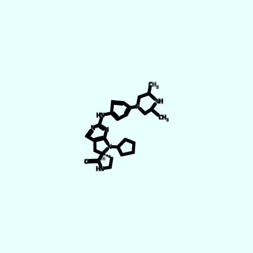 CC1CN(c2ccc(Nc3ncc4c(n3)N(C3CCCC3)[C@]3(CCNC3=O)C4)cc2)CC(C)N1